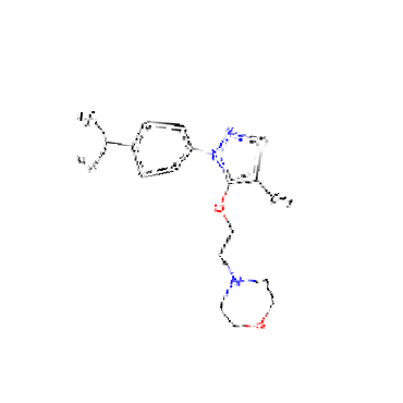 Cc1cnn(-c2ccc(C(C)C)cc2)c1OCCN1CCOCC1